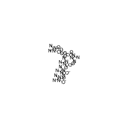 COc1cc2c(cc1OC)-c1nc(C#N)c(C#N)nc1C2=O.COc1ccc2c(c1)-c1nc(C#N)c(C#N)nc1C2=O.COc1ccc2c(c1OC)C(=O)c1nc(C#N)c(C#N)nc1-2.Cc1ccc2c(c1)-c1nc(C#N)c(C#N)nc1C2=O.Cc1cccc2c1C(=O)c1nc(C#N)c(C#N)nc1-2